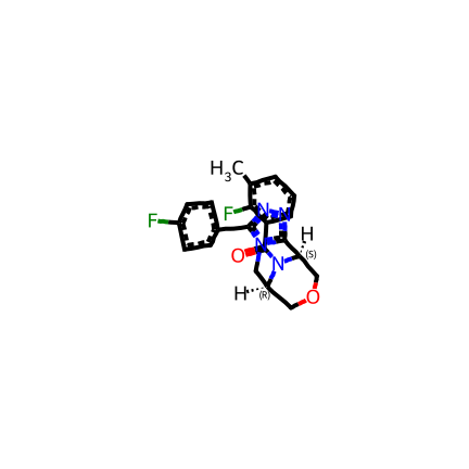 Cc1cccc(C(=O)N2[C@H]3COC[C@@H]2c2nnc(-c4ccc(F)cc4)n2C3)c1F